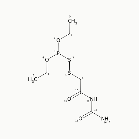 CCOP(OCC)SSCC(=O)NC(N)=O